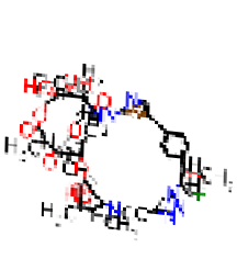 CC[C@H]1OC(=O)[C@H](C)C(=O)[C@H](C)[C@H]2O[C@@H]3O[C@H](C)C[C@@H]([C@H]3O)N(C)CCc3cn(nn3)[C@H](CF)[C@H](OC)c3ccc(cc3)-c3cnc(s3)N[C@H](C[C@@]2(C)OC)C(=O)[C@H](C)[C@@H](O)[C@]1(C)O